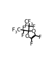 FC1=C(F)OC(C(F)(F)C(F)(F)F)(C(F)(F)C(F)(F)F)O1